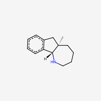 C[C@]12CCCCN[C@@H]1c1ccccc1C2